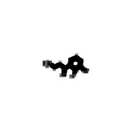 O=C(CCC(F)(F)F)c1cccc(Br)c1F